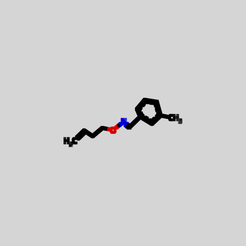 C=CCCON=[C]c1cccc(C)c1